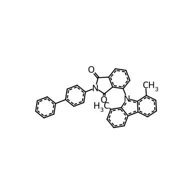 Cc1cccc2c3cccc(C)c3n(-c3cccc4c3C(=O)N(c3ccc(-c5ccccc5)cc3)C4=O)c12